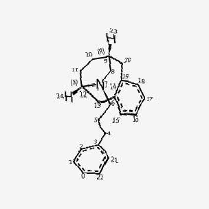 c1ccc(CCCN2C[C@@H]3CC[C@H]2Cc2ccccc2C3)cc1